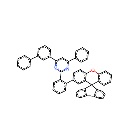 c1ccc(-c2cccc(-c3cc(-c4ccccc4)nc(-c4ccccc4-c4ccc5c(c4)C4(c6ccccc6O5)c5ccccc5-c5ccccc54)n3)c2)cc1